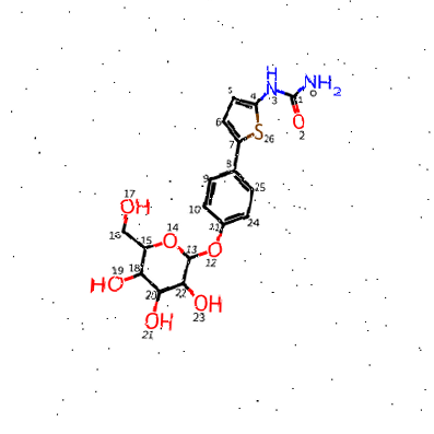 NC(=O)Nc1ccc(-c2ccc(OC3OC(CO)C(O)C(O)C3O)cc2)s1